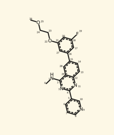 CNc1nc(-c2cccnc2)nc2ccc(-c3cc(F)cc(OCCOC)c3)cc12